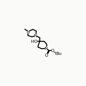 CN1CCN(CC2(O)CCN(C(=O)OC(C)(C)C)CC2)CC1